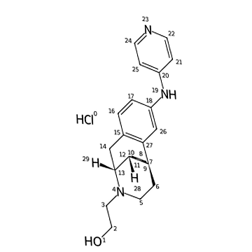 Cl.OCCN1CC[C@]23CCCC[C@H]2[C@H]1Cc1ccc(Nc2ccncc2)cc13